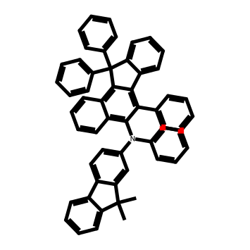 CC1(C)c2ccccc2-c2ccc(N(c3ccccc3)c3c(-c4ccccc4)c4c(c5ccccc35)C(c3ccccc3)(c3ccccc3)c3ccccc3-4)cc21